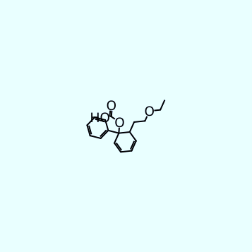 CCOCCC1C=CC=CC1(OC(=O)O)c1ccccc1